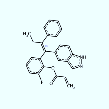 C=CC(=O)Oc1c(F)cccc1/C(=C(\CC)c1ccccc1)c1ccc2[nH]ncc2c1